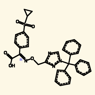 O=C(O)/C(=N/OCc1ncn(C(c2ccccc2)(c2ccccc2)c2ccccc2)n1)c1ccc(S(=O)(=O)C2CC2)cc1